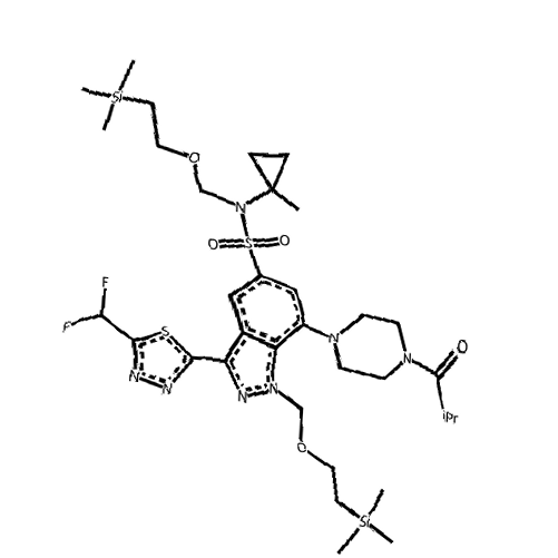 CC(C)C(=O)N1CCN(c2cc(S(=O)(=O)N(COCC[Si](C)(C)C)C3(C)CC3)cc3c(-c4nnc(C(F)F)s4)nn(COCC[Si](C)(C)C)c23)CC1